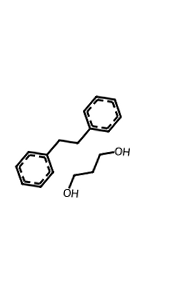 OCCCO.c1ccc(CCc2ccccc2)cc1